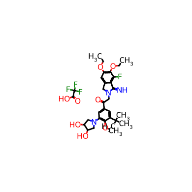 CCOc1cc2c(c(F)c1OCC)C(=N)N(CC(=O)c1cc(N3CC(O)C(O)C3)c(OC)c(C(C)(C)C)c1)C2.O=C(O)C(F)(F)F